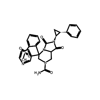 CS(=O)(=O)c1ccccc1C1(c2cccnc2)CN(C(N)=O)CC2C(=O)N([C@H]3C[C@@H]3c3ccccc3)C(=O)N21